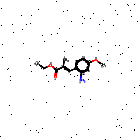 CCOC(=O)/C(C)=C/c1ccc(OC)cc1N